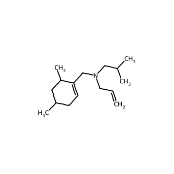 C=CCN(CC1=CCC(C)CC1C)CC(C)C